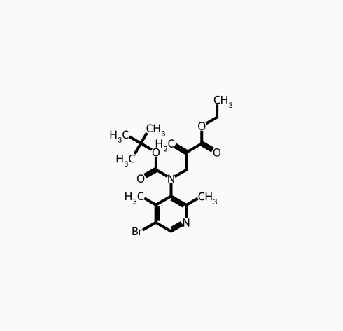 C=C(CN(C(=O)OC(C)(C)C)c1c(C)ncc(Br)c1C)C(=O)OCC